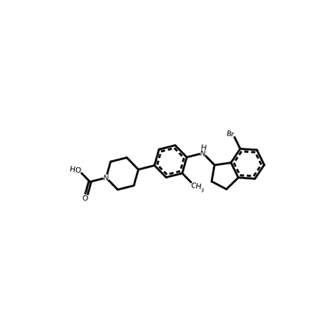 Cc1cc(C2CCN(C(=O)O)CC2)ccc1NC1CCc2cccc(Br)c21